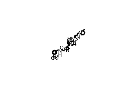 Cc1cn2c(-c3cnn(CC(=O)NCc4cccc([N+](=O)[O-])c4)c3)cnc2c(Nc2cc(CN3CCCC(C)C3)ns2)n1